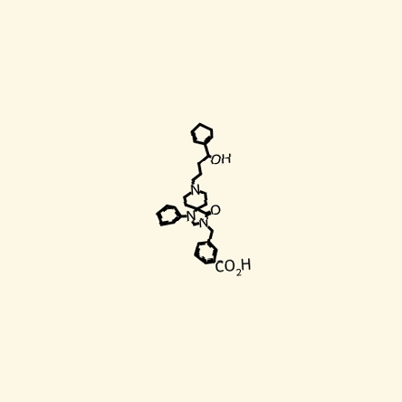 O=C(O)c1cccc(CN2CN(c3ccccc3)C3(CCN(CCCC(O)C4=CCCC=C4)CC3)C2=O)c1